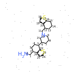 NCC1CCC(C2CCCN(CC3CCCc4sccc43)C2)c2sccc21